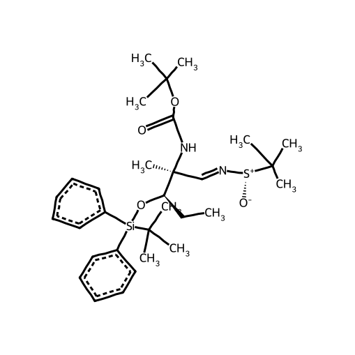 CC[C@@H](O[Si](c1ccccc1)(c1ccccc1)C(C)(C)C)[C@](C)(/C=N/[S@@+]([O-])C(C)(C)C)NC(=O)OC(C)(C)C